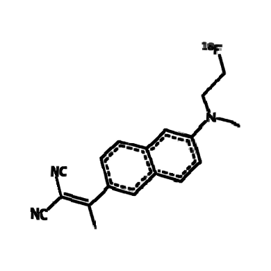 [C-]#[N+]/C(C#N)=C(/C)c1ccc2cc(N(C)CC[18F])ccc2c1